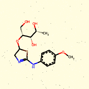 COc1ccc(NC2=NCC(O[C@H](CO)[C@@H](O)[C@@H](C)O)S2)cc1